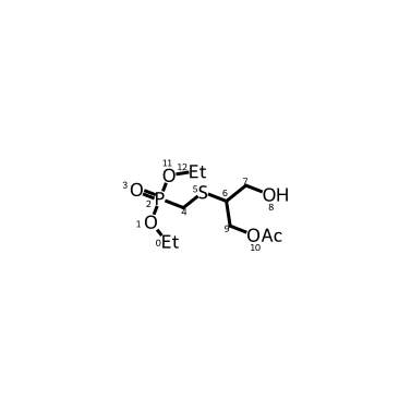 CCOP(=O)(CSC(CO)COC(C)=O)OCC